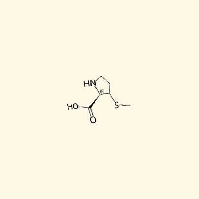 CSC1CCN[C@@H]1C(=O)O